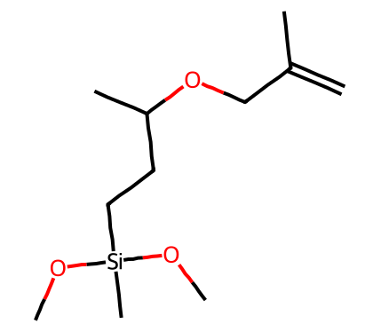 C=C(C)COC(C)CC[Si](C)(OC)OC